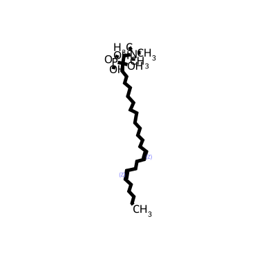 CCCCC/C=C\CC/C=C\CCCCCCCCCCCCCC(O)(C[N+](C)(C)C)P(=O)(O)O